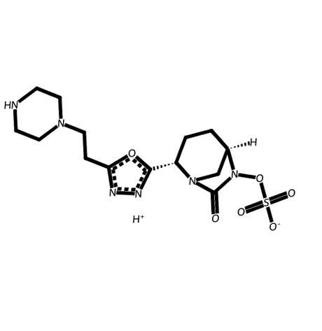 O=C1N2C[C@@H](CC[C@H]2c2nnc(CCN3CCNCC3)o2)N1OS(=O)(=O)[O-].[H+]